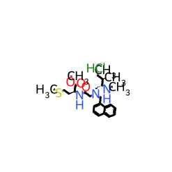 CC[C@H](C)[C@@H](CN(CC(=O)N[C@@H](CCSC)C(=O)OC)Cc1cccc2ccccc12)NC.Cl